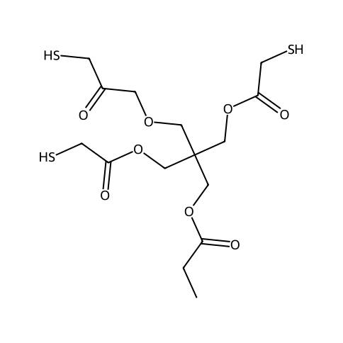 CCC(=O)OCC(COCC(=O)CS)(COC(=O)CS)COC(=O)CS